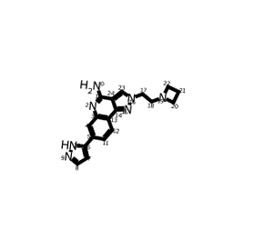 Nc1nc2cc(-c3ccn[nH]3)ccc2c2nn(CCN3CCC3)cc12